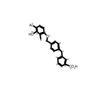 CC(=O)c1ccc(OCc2ccc(Cc3cccc(C(=O)O)c3)cc2)c(C)c1O